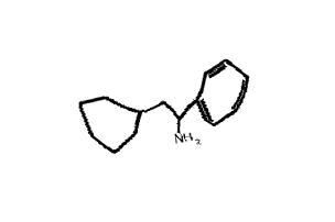 NC(CC1CCCCC1)c1ccccc1